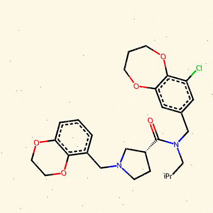 CC(C)CN(Cc1cc(Cl)c2c(c1)OCCCO2)C(=O)[C@@H]1CCN(Cc2cccc3c2OCCO3)C1